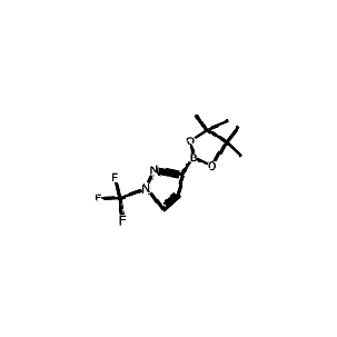 CC1(C)OB(c2ccn(C(F)(F)F)n2)OC1(C)C